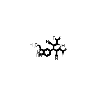 CCc1n[nH]c2ccc(C3C(C#N)=C(C(F)F)NC(C(F)F)=C3C#N)cc12